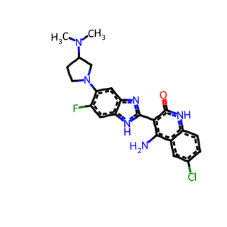 CN(C)C1CCN(c2cc3nc(-c4c(N)c5cc(Cl)ccc5[nH]c4=O)[nH]c3cc2F)C1